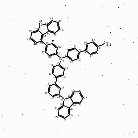 CCCCc1ccc(-c2ccc(N(c3ccc(-c4cccc(-n5c6ccccc6c6ccccc65)c4)cc3)c3ccc(-c4cccc5oc6ccccc6c45)cc3)cc2)cc1